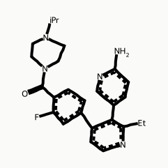 CCc1nccc(-c2ccc(C(=O)N3CCN(C(C)C)CC3)c(F)c2)c1-c1ccc(N)nc1